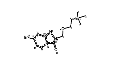 C[Si](C)(C)CCOCn1nc2cc(Br)ccn2c1=O